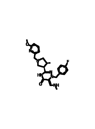 CN/C=C1/C(=O)NC([C@H]2CN(Cc3cccc(OC)n3)C[C@H]2C)=NN1Cc1ccc(F)cc1